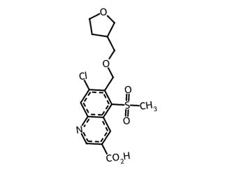 CS(=O)(=O)c1c(COCC2CCOC2)c(Cl)cc2ncc(C(=O)O)cc12